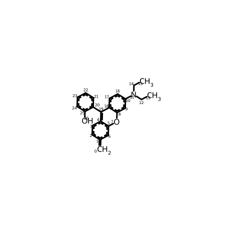 C=c1ccc2c(c1)Oc1cc(N(CC)CC)ccc1C=2c1ccccc1O